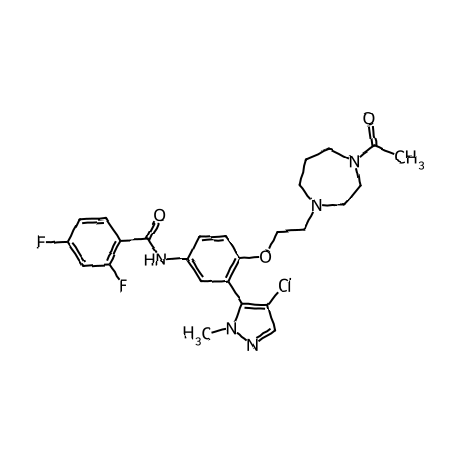 CC(=O)N1CCCN(CCOc2ccc(NC(=O)c3ccc(F)cc3F)cc2-c2c(Cl)cnn2C)CC1